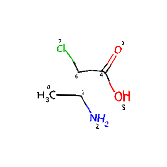 CCN.O=C(O)CCl